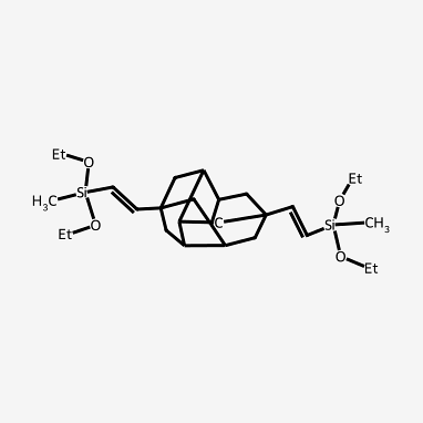 CCO[Si](C)(C=CC12CC3C4CC5(/C=C/[Si](C)(OCC)OCC)CC3C(C1)C(C5)C4C2)OCC